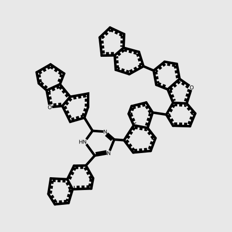 c1ccc2cc(C3=NC(c4cccc5c(-c6cccc7oc8ccc(-c9ccc%10ccccc%10c9)cc8c67)cccc45)=NC(c4ccc5c(c4)oc4ccccc45)N3)ccc2c1